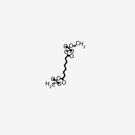 CCOS(=O)(=O)OC(=O)CCCCCCC(=O)OS(C)(=O)=O